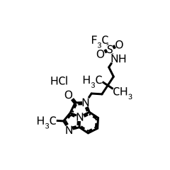 Cc1nc2cccc3n(CCC(C)(C)CCNS(=O)(=O)C(F)(F)F)c(=O)c1n23.Cl